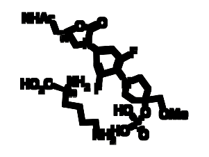 COCC1(OP(=O)(O)O)CCN(c2c(F)cc(N3C[C@H](CNC(C)=O)OC3=O)cc2F)CC1.NCCCC[C@H](N)C(=O)O